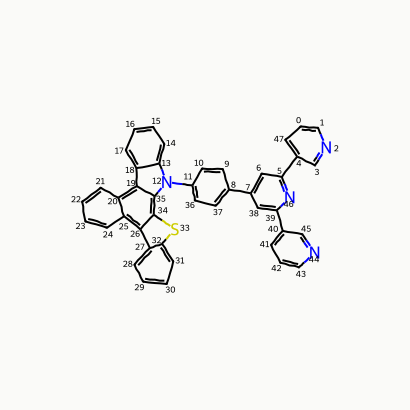 c1cncc(-c2cc(-c3ccc(-n4c5ccccc5c5c6ccccc6c6c7ccccc7sc6c54)cc3)cc(-c3cccnc3)n2)c1